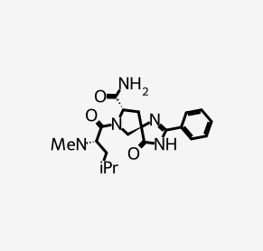 CN[C@@H](CC(C)C)C(=O)N1C[C@@]2(C[C@H]1C(N)=O)N=C(c1ccccc1)NC2=O